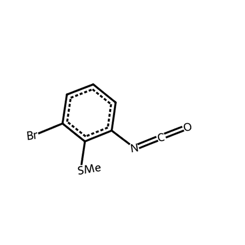 CSc1c(Br)cccc1N=C=O